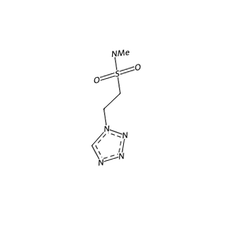 CNS(=O)(=O)CCn1cnnn1